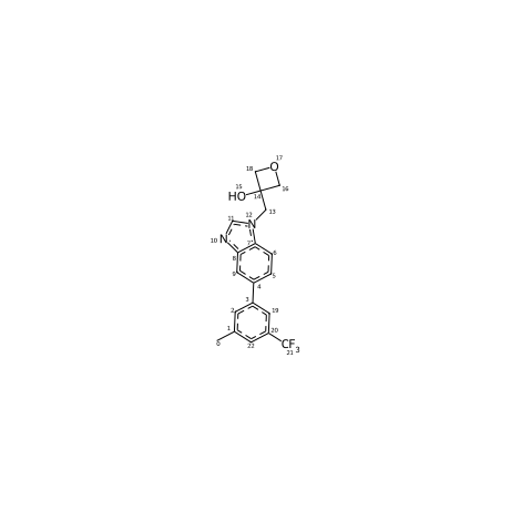 Cc1cc(-c2ccc3c(c2)ncn3CC2(O)COC2)cc(C(F)(F)F)c1